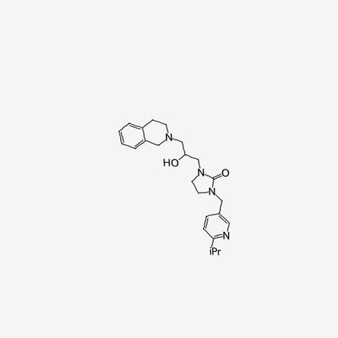 CC(C)c1ccc(CN2CCN(CC(O)CN3CCc4ccccc4C3)C2=O)cn1